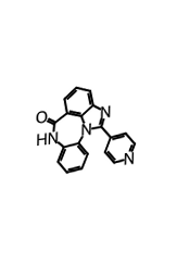 O=C1Nc2ccccc2-n2c(-c3ccncc3)nc3cccc1c32